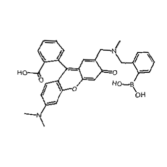 CN(Cc1ccccc1B(O)O)Cc1cc2c(-c3ccccc3C(=O)O)c3ccc(N(C)C)cc3oc-2cc1=O